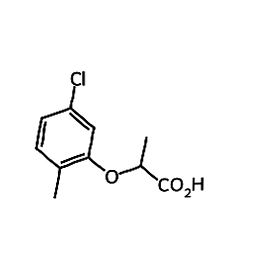 Cc1ccc(Cl)cc1OC(C)C(=O)O